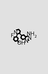 Nc1ncnc2ccc(-c3cccnc3-c3cc(O)ccc3F)cc12